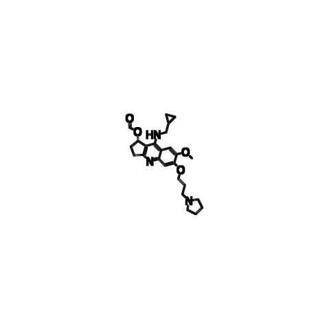 COc1cc2c(NCC3CC3)c3c(nc2cc1OCCCN1CCCC1)CCC3OC=O